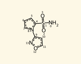 NS(=O)(=O)c1cccn1-c1ccon1